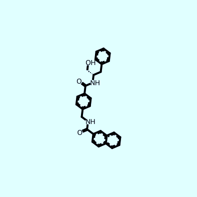 O=C(NCc1ccc(C(=O)N[C@H](CO)Cc2ccccc2)cc1)c1ccc2ccccc2c1